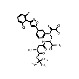 CC(C)[C@@H](CN(C(=O)C(Cl)Cl)c1cccc(-c2cc(-c3c(Cl)cccc3Cl)no2)c1)NC(=O)CN(C)C(=O)OC(C)(C)C